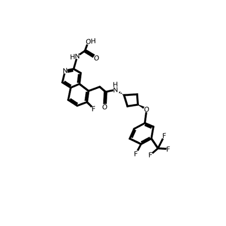 O=C(O)Nc1cc2c(CC(=O)N[C@H]3C[C@H](Oc4ccc(F)c(C(F)(F)F)c4)C3)c(F)ccc2cn1